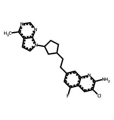 Cc1ncnc2c1ccn2C1CCC(CCc2cc(F)c3cc(Cl)c(N)nc3c2)C1